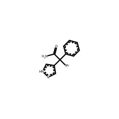 CC(C)C(C(N)=O)(c1ccccc1)c1cn[nH]c1